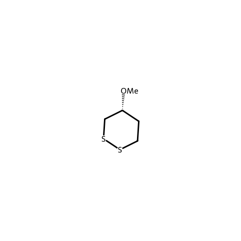 CO[C@@H]1CCSSC1